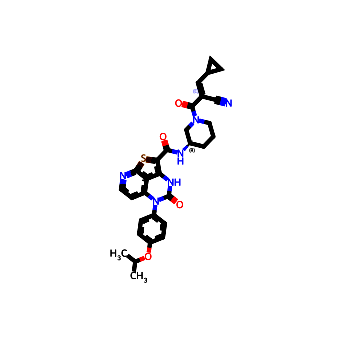 CC(C)Oc1ccc(N2C(=O)Nc3c(C(=O)N[C@@H]4CCCN(C(=O)/C(C#N)=C/C5CC5)C4)sc4nccc2c34)cc1